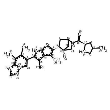 Cc1c(-c2[nH]c3sc([C@@H]4CC5C[C@H]4CN5C(=O)[C@H]4C[C@@H](C)CN4)c(C)c3c2C(C)C)cn2ncnc2c1C